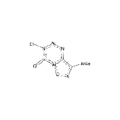 CCn1nnc2c(NC)ncn2c1=O